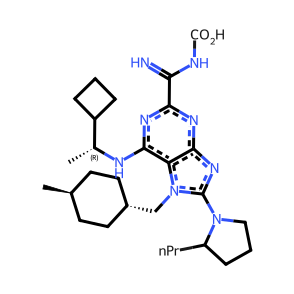 CCCC1CCCN1c1nc2nc(C(=N)NC(=O)O)nc(N[C@H](C)C3CCC3)c2n1C[C@H]1CC[C@H](C)CC1